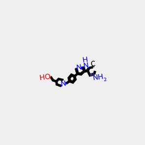 C=C=Cc1[nH]c2ncc(-c3ccc(CN4CCC(CCO)CC4)cc3)cc2c1/C=C(\C)N